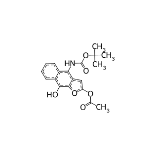 CC(=O)Oc1cc2c(NC(=O)OC(C)(C)C)c3ccccc3c(O)c2o1